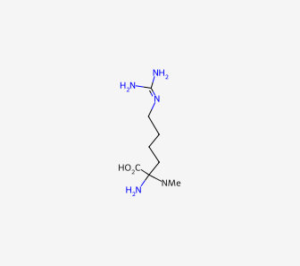 CNC(N)(CCCCN=C(N)N)C(=O)O